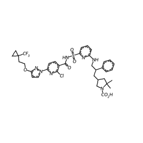 CC1(C)CC(CC(CNc2cccc(S(=O)(=O)NC(=O)c3ccc(-n4ccc(OCCC5(C(F)(F)F)CC5)n4)nc3Cl)n2)c2ccccc2)CN1C(=O)O